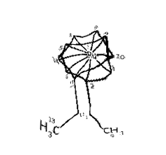 CC[C]12[CH]3[CH]4[CH]5[CH]1[Ru]45321678[CH]2[CH]1[CH]6[C]7(CC)[CH]28